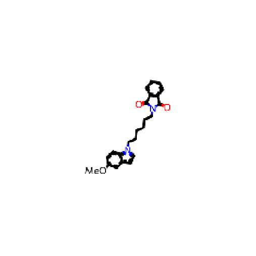 COc1ccc2c(ccn2CCCCCCN2C(=O)c3ccccc3C2=O)c1